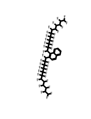 FC(F)C(F)C(F)C(F)C(F)C(F)C(F)(F)C(F)(F)C(F)(F)C(F)(F)C(F)(F)C(F)c1ccc2ccccc2c1C(F)C(F)(F)C(F)(F)C(F)(F)C(F)(F)C(F)(F)C(F)C(F)C(F)C(F)C(F)C(F)F